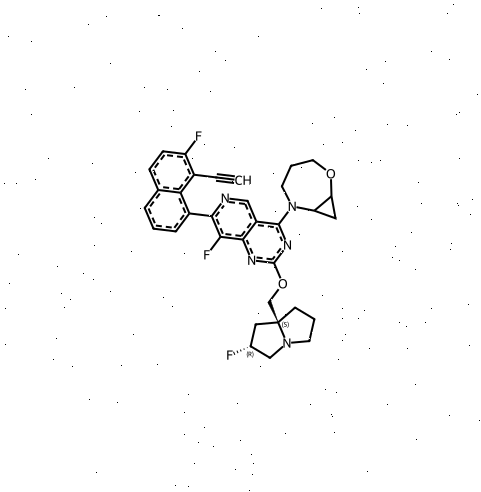 C#Cc1c(F)ccc2cccc(-c3ncc4c(N5CCCOC6CC65)nc(OC[C@@]56CCCN5C[C@H](F)C6)nc4c3F)c12